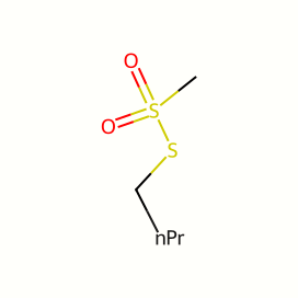 CCCCSS(C)(=O)=O